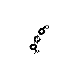 CN(C)c1cccc(N2CCN(c3ccc(C=O)cc3)CC2)c1